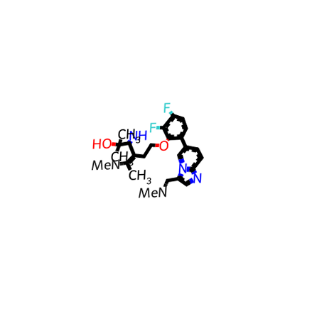 CNCc1cnc2ccc(-c3ccc(F)c(F)c3OCC/C(C(=N)C(C)(C)O)=C(\C)NC)cn12